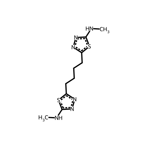 CNc1nnc(CCCCc2nnc(NC)s2)s1